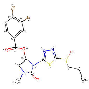 CCC[S+]([O-])c1nnc(N2C(=O)N(C)CC2OC(=O)c2ccc(Br)c(Br)c2)s1